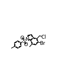 Cc1ccc(S(=O)(=O)n2ccc3c(CCl)c(Br)cc(C)c32)cc1